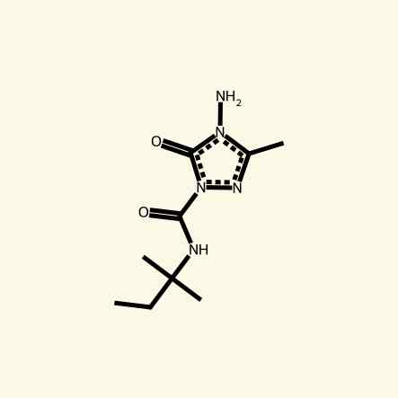 CCC(C)(C)NC(=O)n1nc(C)n(N)c1=O